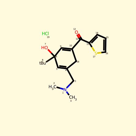 CN(C)CC1=CC(O)(C(C)(C)C)C=C(C(=O)c2cccs2)C1.Cl